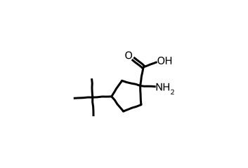 CC(C)(C)C1CCC(N)(C(=O)O)C1